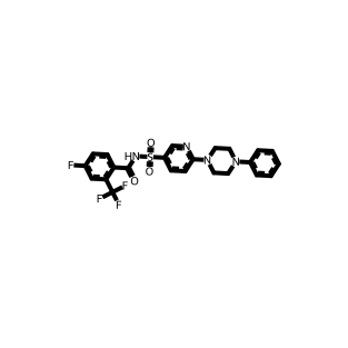 O=C(NS(=O)(=O)c1ccc(N2CCN(c3ccccc3)CC2)nc1)c1ccc(F)cc1C(F)(F)F